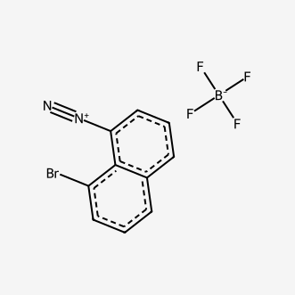 F[B-](F)(F)F.N#[N+]c1cccc2cccc(Br)c12